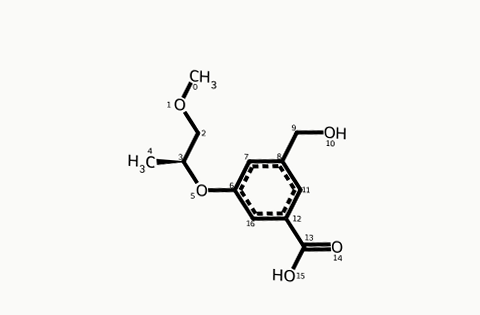 COC[C@H](C)Oc1cc(CO)cc(C(=O)O)c1